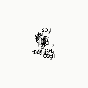 CC(C)[C@H](NC(=O)CC(c1cn(CCCS(=O)(=O)O)nn1)N1C(=O)C=CC1=O)C(=O)N[C@@H](C)C(=O)Nc1ccc(COC(=O)C(C)(C)C)c(CC[C@@H]2O[C@H](C(=O)O)[C@@H](O)[C@H](O)[C@H]2O)c1